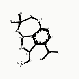 CC(C)c1ccc2c3c1[C@@H](CN)OB3OC(C)(C)CO2